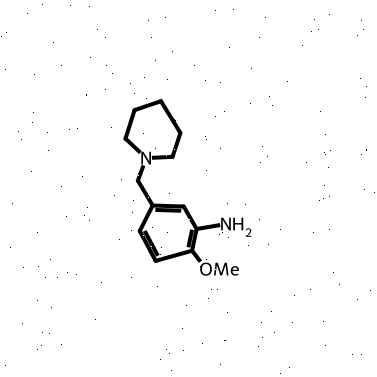 COc1ccc(CN2CCCCC2)cc1N